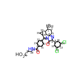 CC(C)(C)C1CCC2(CC1)N=C(c1cc(Cl)cc(Cl)c1)C(=O)N2[C@@H](c1ccc(C(=O)NCCC(=O)O)cc1)C1CC1